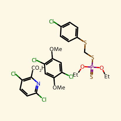 CCOP(=S)(OCC)SCSc1ccc(Cl)cc1.COc1cc(Cl)c(OC)cc1Cl.O=C(O)c1nc(Cl)ccc1Cl